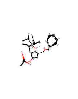 CC(=O)O[C@@H]1C[C@H](COCc2ccccc2)[C@@H](O[Si](C(C)C)(C(C)C)C(C)C)C1